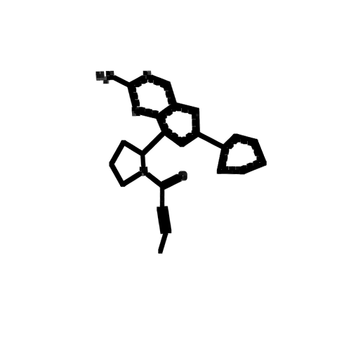 CC#CC(=O)N1CCCC1c1cc(-c2ccccc2)cc2cnc(N)nc12